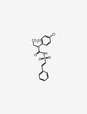 CCOC(=O)CN(C(=O)NS(=O)(=O)C=Cc1ccccc1)c1ccc(Cl)cc1